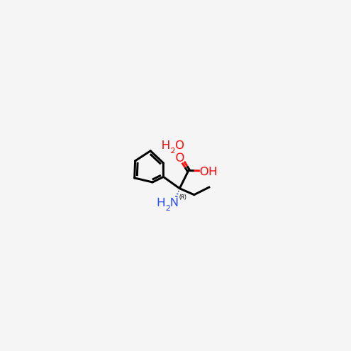 CC[C@](N)(C(=O)O)c1ccccc1.O